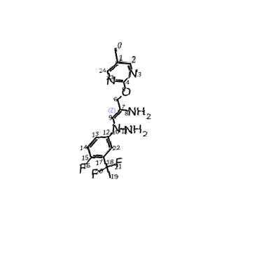 Cc1cnc(OC/C(N)=C/N(N)c2ccc(F)c(C(C)(F)F)c2)nc1